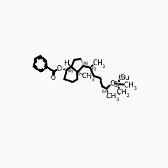 C[C@@H](CCC[C@H](C)[C@H]1CC[C@H]2[C@@H](OC(=O)c3ccccc3)CCC[C@]12C)O[Si](C)(C)C(C)(C)C